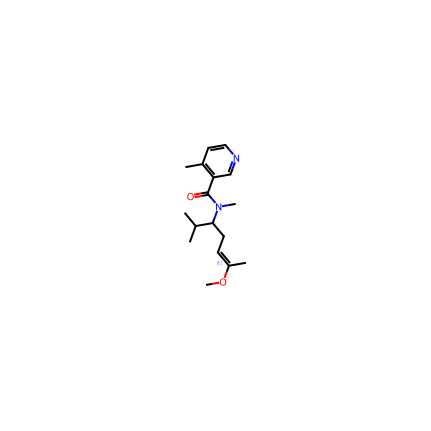 CO/C(C)=C/CC(C(C)C)N(C)C(=O)c1cnccc1C